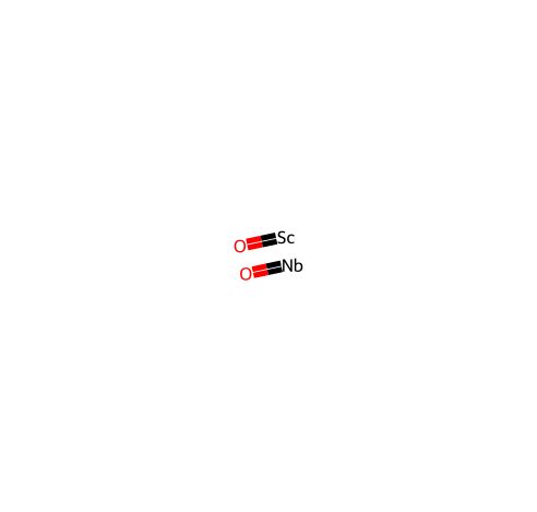 [O]=[Nb].[O]=[Sc]